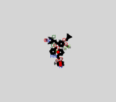 O=C(OC(Cc1c(Cl)c[n+]([O-])cc1Cl)c1ccc(OC(F)F)c(OCC2CC2)c1)c1cccc(NC(C(=O)O[C@H]2CN3CCC2CC3)c2ccccc2F)c1